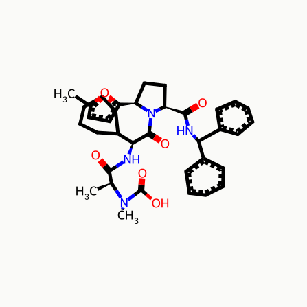 Cc1ccc([C@H]2CC[C@@H](C(=O)NC(c3ccccc3)c3ccccc3)N2C(=O)[C@@H](NC(=O)[C@H](C)N(C)C(=O)O)C2CCCCC2)o1